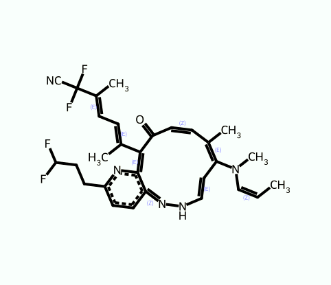 C/C=C\N(C)C1=C(C)/C=C\C(=O)C(/C(C)=C/C=C(\C)C(F)(F)C#N)=c2/nc(CCC(F)F)cc/c2=N/N\C=C\1